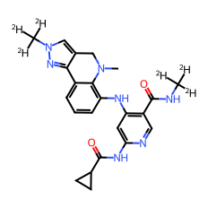 [2H]C([2H])([2H])NC(=O)c1cnc(NC(=O)C2CC2)cc1Nc1cccc2c1N(C)Cc1cn(C([2H])([2H])[2H])nc1-2